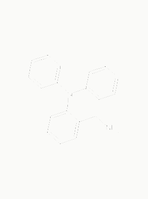 NCc1ccccc1[SiH](c1ccccc1)c1ccccc1